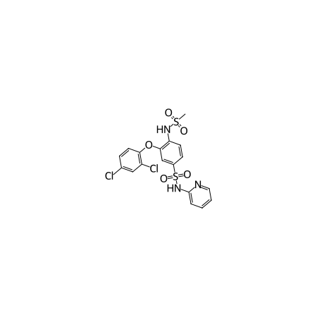 CS(=O)(=O)Nc1ccc(S(=O)(=O)Nc2ccccn2)cc1Oc1ccc(Cl)cc1Cl